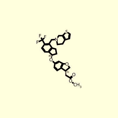 COC(=O)C[C@@H]1COc2cc(O[C@@H]3CCc4c3ccc(C(F)(F)F)c4CN3CCc4ccsc4C3)ccc21